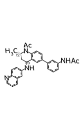 CC(=O)Nc1cccc(-c2ccc3c(c2)[C@H](Nc2ccc4ncccc4c2)C[C@H](C)N3C(C)=O)c1